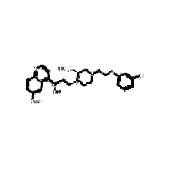 COc1ccc2nccc([C@@H](O)CC[C@@H]3CCN(CCSc4cccc(Cl)c4)C[C@@H]3C(=O)O)c2c1